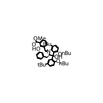 CCCCOc1ccc(C(C)(C)C)cc1C(O)(c1cc(C(C)(C)C)ccc1OCCCC)[C@@H](Cc1ccccc1)N=Cc1cccc(C(=O)OC)c1O